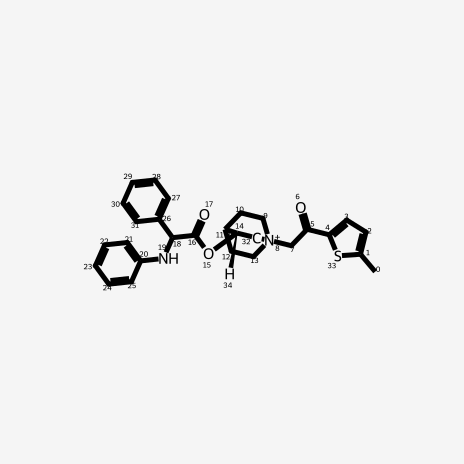 Cc1ccc(C(=O)C[N+]23CCC(CC2)[C@@H](OC(=O)C(Nc2ccccc2)c2ccccc2)C3)s1